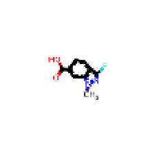 Cn1nc(F)c2ccc(C(=O)O)cc21